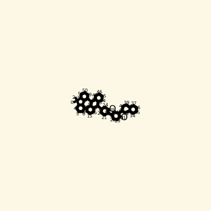 CC1(C)c2ccccc2-c2c(-c3c4ccccc4c(-c4ccc5c(c4)oc4c5ccc5oc6c7ccccc7ccc6c54)c4ccccc34)cccc21